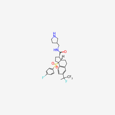 CC(F)(c1ccc2c(c1)CC[C@H]1[C@H](C(=O)NCC3CCNC3)CC[C@@]21S(=O)(=O)c1ccc(F)cc1)C(F)(F)F